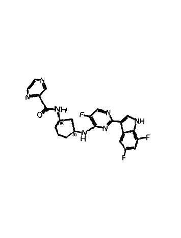 O=C(N[C@@H]1CCC[C@H](Nc2nc(-c3c[nH]c4c(F)cc(F)cc34)ncc2F)C1)c1cnccn1